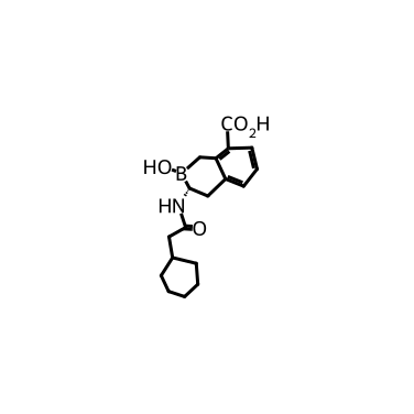 O=C(CC1CCCCC1)N[C@H]1Cc2cccc(C(=O)O)c2CB1O